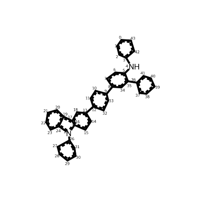 c1ccc(Nc2ccc(-c3ccc(-c4ccc5c(c4)c4ccccc4n5-c4ccccc4)cc3)cc2-c2ccccc2)cc1